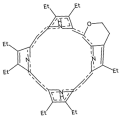 CCC1=C(CC)c2cc3[nH]c(c(CC)c3CC)c3c4nc(cc5[nH]c(cc1n2)c(CC)c5CC)C(CC)=C4CCO3